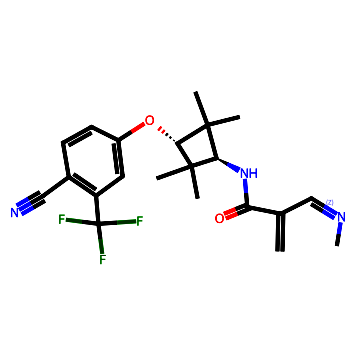 C=C(/C=N\C)C(=O)N[C@H]1C(C)(C)[C@H](Oc2ccc(C#N)c(C(F)(F)F)c2)C1(C)C